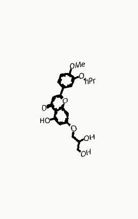 CCCOc1cc(-c2cc(=O)c3c(O)cc(OCC(O)CO)cc3o2)ccc1OC